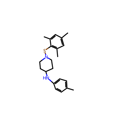 Cc1ccc(NC2CCN(Sc3c(C)cc(C)cc3C)CC2)cc1